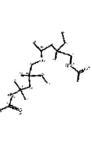 CCC(C)(CNC(C)=O)CC(C)SCC(C)(CC)CC(C)(C)NC(C)=O